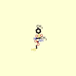 Cc1ccc(S(=O)(=O)C(C)(C#N)NC(=O)OCCS)cc1